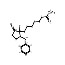 COC(=O)CCCCCCC1(C)C(=O)CCC1Sc1ccccc1